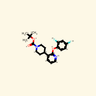 CC(C)(C)OC(=O)N1CCC(c2cccnc2Oc2ccc(F)cc2F)CC1